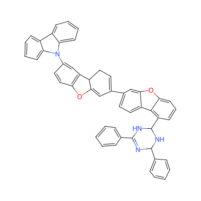 C1=C(c2ccc3c(c2)oc2cccc(C4NC(c5ccccc5)=NC(c5ccccc5)N4)c23)C=C2Oc3ccc(-n4c5ccccc5c5ccccc54)cc3C2C1